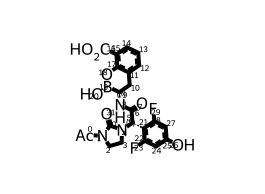 CC(=O)N1CCN([C@H](C(=O)N[C@H]2Cc3cccc(C(=O)O)c3OB2O)c2c(F)cc(O)cc2F)C1=O